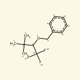 CC(C)(C)C(OCc1ccccc1)C(F)(F)F